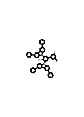 N#Cc1c(-n2c3ccc(-c4ccccc4)cc3c3cc(-c4ccccc4)ccc32)cc(-c2cc(F)cc(F)c2)cc1-n1c2ccc(-c3ccccc3)cc2c2cc(-c3ccccc3)ccc21